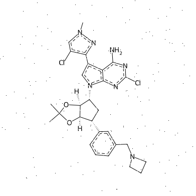 Cn1cc(Cl)c(-c2cn([C@@H]3C[C@H](c4cccc(CN5CCC5)c4)[C@H]4OC(C)(C)O[C@H]43)c3nc(Cl)nc(N)c23)n1